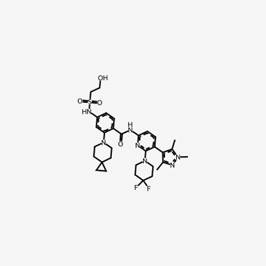 Cc1nn(C)c(C)c1-c1ccc(NC(=O)c2ccc(NS(=O)(=O)CCO)cc2N2CCC3(CC2)CC3)nc1N1CCC(F)(F)CC1